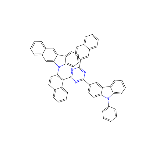 c1ccc(-n2c3ccccc3c3cc(-c4nc(-c5ccc6ccccc6c5)nc(-c5c(-n6c7ccccc7c7cc8ccccc8cc76)ccc6ccccc56)n4)ccc32)cc1